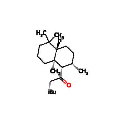 CC[C@@H](C)CC(=O)[C@H]1[C@@H](C)CC[C@H]2C(C)(C)CCC[C@]12C